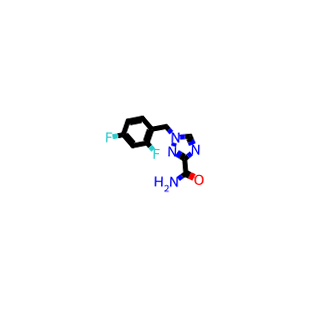 NC(=O)c1ncn(Cc2ccc(F)cc2F)n1